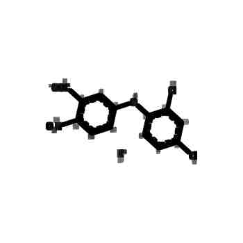 O=C([O-])c1cc(Oc2ccc(Cl)cc2Cl)ccc1[N+](=O)[O-].[K+]